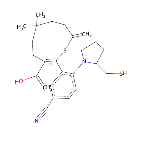 C=C1CCC(C)(C)CC/C(C(=C)O)=C(/c2cc(C#N)ccc2N2CCCC2CS)S1